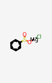 O=S([O][Mg][Cl])c1ccccc1